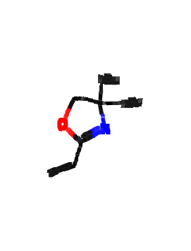 C=CC1=NC(CCCC)(CCCC)CO1